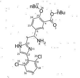 CCCCOC(=O)c1cc(C(N)Cc2nc(-c3c(Cl)cccc3Cl)c[nH]2)ccc1OCCCC